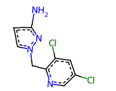 Nc1ccn(Cc2ncc(Cl)cc2Cl)n1